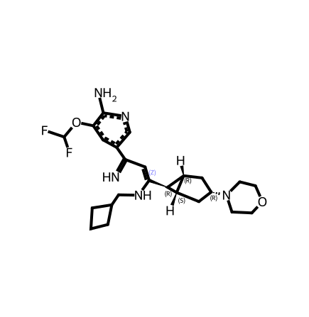 N=C(/C=C(\NCC1CCC1)[C@H]1[C@@H]2C[C@H](N3CCOCC3)C[C@@H]21)c1cnc(N)c(OC(F)F)c1